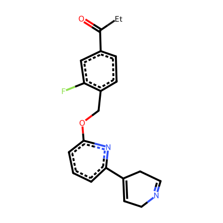 CCC(=O)c1ccc(COc2cccc(C3=CCN=CC3)n2)c(F)c1